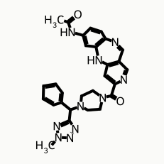 CC(=O)Nc1ccc2c(c1)Nc1cc(C(=O)N3CCN(C(c4ccccc4)c4nnn(C)n4)CC3)ncc1C=N2